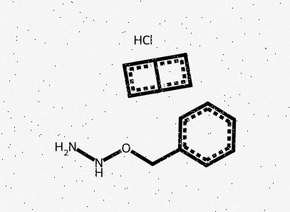 Cl.NNOCc1ccccc1.c1cc2ccc1-2